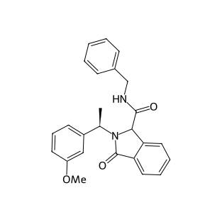 COc1cccc([C@@H](C)N2C(=O)c3ccccc3C2C(=O)NCc2ccccc2)c1